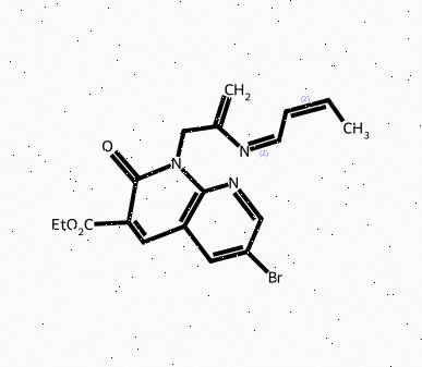 C=C(Cn1c(=O)c(C(=O)OCC)cc2cc(Br)cnc21)/N=C\C=C/C